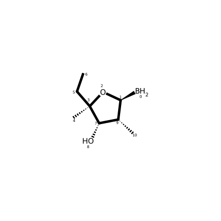 B[C@@H]1O[C@](C)(CC)[C@@H](O)[C@H]1C